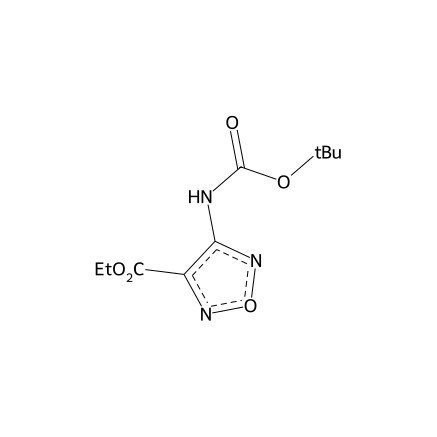 CCOC(=O)c1nonc1NC(=O)OC(C)(C)C